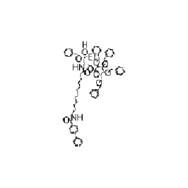 CC[C@@H](O)[C@@H](OCc1ccccc1)[C@H](CO[C@H]1OC(COCc2ccccc2)[C@H](OCc2ccccc2)C(OCc2ccccc2)C1OCc1ccccc1)NC(=O)CCCCCCCCCCCNC(=O)c1ccc(-c2ccccc2)cc1